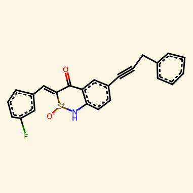 O=C1/C(=C/c2cccc(F)c2)[S+]([O-])Nc2ccc(C#CCc3ccccc3)cc21